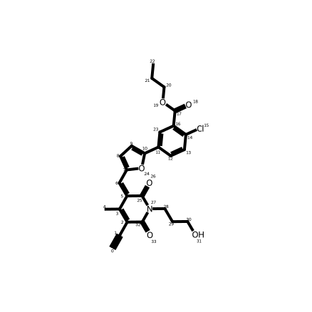 C#CC1=C(C)/C(=C/c2ccc(-c3ccc(Cl)c(C(=O)OCCC)c3)o2)C(=O)N(CCCO)C1=O